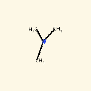 CCCCCCCCCCCCCCCCCCN1C=CN(CCCCCCCCCCCCCCC)C1CCCCCCCCCCCCC